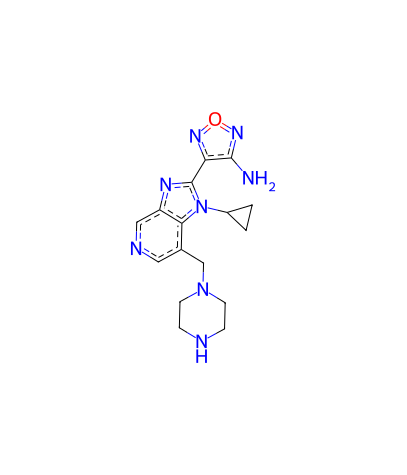 Nc1nonc1-c1nc2cncc(CN3CCNCC3)c2n1C1CC1